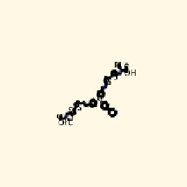 [C-]#[N+]/C(=C\c1ccc(-c2ccc(/C=C/c3ccc(N(c4ccc(/C=C/c5ccc(-c6ccc(/C=C(\C#N)C(=O)O)s6)s5)cc4)c4ccc(C5CCCCC5)cc4)cc3)s2)s1)C(=O)O